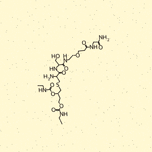 CCNC(=O)OCCC(CSCC(N)C(=O)NC(CO)C(=O)NCCOCCC(=O)NCC(N)=O)OC(=O)NCC